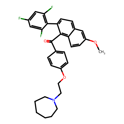 COc1ccc2c(C(=O)c3ccc(OCCN4CCCCCC4)cc3)c(-c3c(F)cc(F)cc3F)ccc2c1